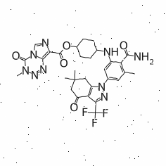 Cc1cc(-n2nc(C(F)(F)F)c3c2CC(C)(C)CC3=O)cc(NC2CCC(OC(=O)c3ncn4c(=O)n(C)nnc34)CC2)c1C(N)=O